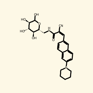 N#C/C(=C/c1ccc2cc(N3CCCCC3)ccc2c1)C(=O)NC[C@H]1OC(O)[C@H](O)[C@@H](O)[C@@H]1O